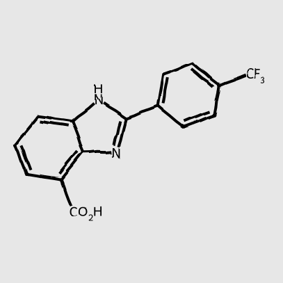 O=C(O)c1cccc2[nH]c(-c3ccc(C(F)(F)F)cc3)nc12